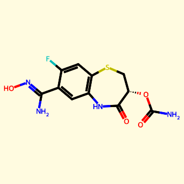 NC(=O)O[C@H]1CSc2cc(F)c(/C(N)=N/O)cc2NC1=O